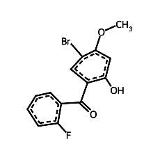 COc1cc(O)c(C(=O)c2ccccc2F)cc1Br